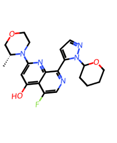 C[C@@H]1COCCN1c1cc(O)c2c(F)cnc(-c3ccnn3C3CCCCO3)c2n1